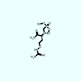 CCOP(=O)(CN[C@@H](CCONC(=N)N)C(N)=O)OCC